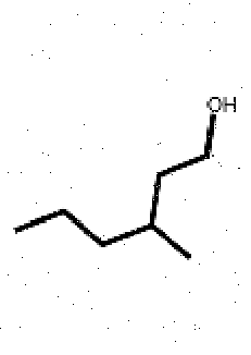 CCCC(C)C[CH]O